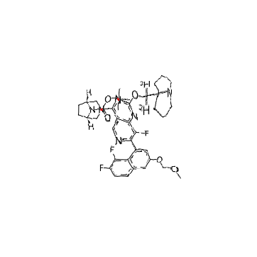 [2H]C([2H])(Oc1nc(N2C[C@H]3CC[C@@H](C2)N3C(=O)OC(C)(C)C)c2cnc(-c3cc(OCOC)cc4ccc(F)c(F)c34)c(F)c2n1)C12CCCN1CCC2